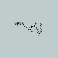 COCCN(C)S(=O)(=O)CC(CCCCCN=[N+]=[N-])OC(=O)Cl